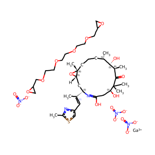 C(COCCOCC1CO1)OCCOCC1CO1.C/C(=C\c1csc(C)n1)[C@@H]1C[C@@H]2O[C@]2(C)CCC[C@H](C)[C@H](O)[C@@H](C)C(=O)C(C)(C)[C@@H](O)CC(O)=N1.O=[N+]([O-])[O-].O=[N+]([O-])[O-].O=[N+]([O-])[O-].[Ga+3]